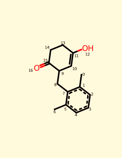 Cc1cccc(C)c1CC1C=C(O)CCC1=O